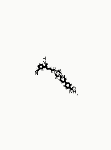 N#Cc1ccc2[nH]cc(CCCCN3CCN(c4ccc(-c5ccc(C(N)=O)cc5)cn4)CC3)c2c1